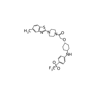 Cc1ccc2sc(N3CCN(C(=O)CO[C@H]4CC[C@H](Nc5ccc(S(=O)(=O)C(F)(F)F)cc5)CC4)CC3)nc2c1